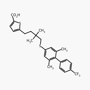 Cc1cc(SCC(C)(C)CCc2ccc(C(=O)O)s2)cc(C)c1-c1ccc(C(F)(F)F)cc1